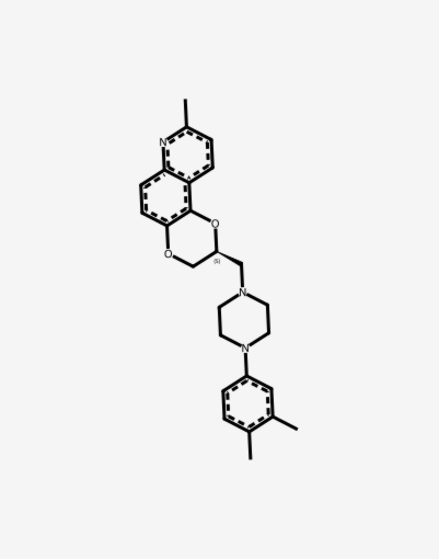 Cc1ccc2c3c(ccc2n1)OC[C@H](CN1CCN(c2ccc(C)c(C)c2)CC1)O3